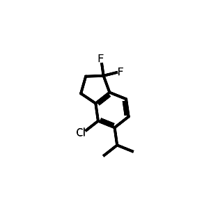 CC(C)c1ccc2c(c1Cl)CCC2(F)F